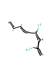 C=C/C=C/C(F)=C\C(=C)F